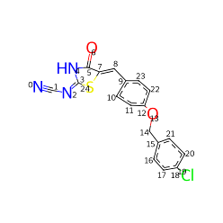 N#C/N=C1\NC(=O)/C(=C/c2ccc(OCc3ccc(Cl)cc3)cc2)S1